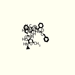 CCC[C@H](NC(=O)[C@@H]1C[C@@H]2CCCC[C@@H]2N1C(=O)C(NC(=O)[C@@H](NC(=O)OCc1ccccc1)C1CCCCC1)C(C)(C)C)C(O)C(=O)NC1CC1